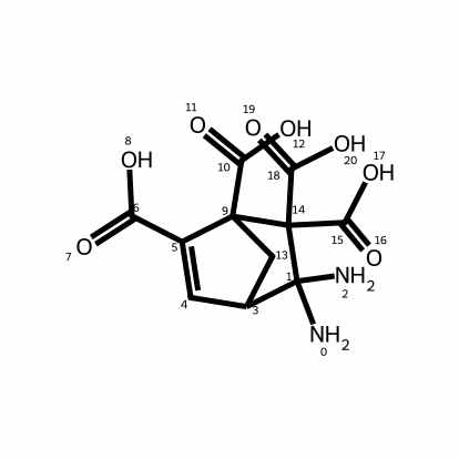 NC1(N)C2C=C(C(=O)O)C(C(=O)O)(C2)C1(C(=O)O)C(=O)O